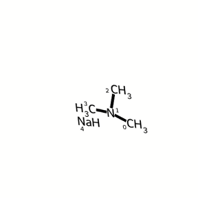 CN(C)C.[NaH]